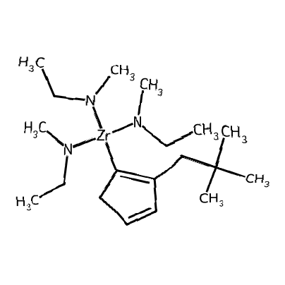 CC[N](C)[Zr]([C]1=C(CC(C)(C)C)C=CC1)([N](C)CC)[N](C)CC